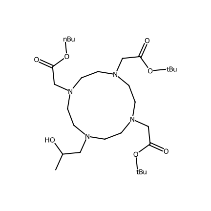 CCCCOC(=O)CN1CCN(CC(=O)OC(C)(C)C)CCN(CC(=O)OC(C)(C)C)CCN(CC(C)O)CC1